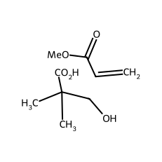 C=CC(=O)OC.CC(C)(CO)C(=O)O